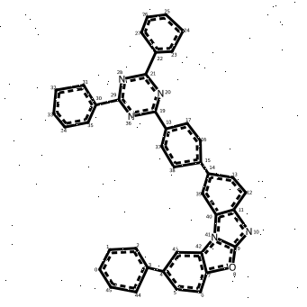 c1ccc(-c2ccc3oc4nc5ccc(-c6ccc(-c7nc(-c8ccccc8)nc(-c8ccccc8)n7)cc6)cc5n4c3c2)cc1